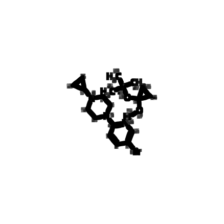 Brc1ccc(N2CCN(C3CC3)CC2)nc1.CCOC1(O[Si](C)(C)C)CC1